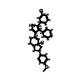 COc1ccc([C@@H]2C[C@H]3C=C(c4c[nH]c(-c5cccc(Cl)c5)c4-c4ccncc4)CCN3C2)cc1